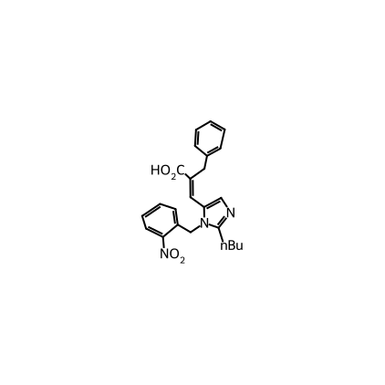 CCCCc1ncc(/C=C(\Cc2ccccc2)C(=O)O)n1Cc1ccccc1[N+](=O)[O-]